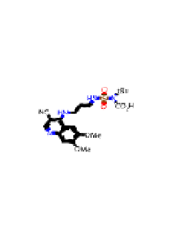 COc1cc2ncc(C#N)c(NCCCNS(=O)(=O)N(C(=O)O)C(C)(C)C)c2cc1OC